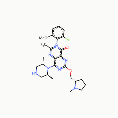 COc1cccc(F)c1-n1c(C(F)(F)F)nc2c(N3[C@@H](C)CNC[C@@H]3C)nc(OC[C@@H]3CCCN3C)nc2c1=O